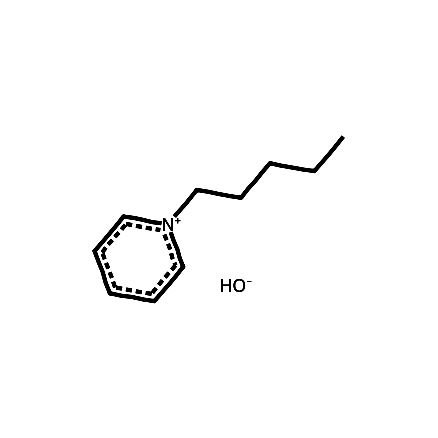 CCCCC[n+]1ccccc1.[OH-]